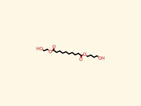 O=C(CCCCCCCCC(=O)OCCCCO)OCCO